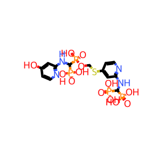 O=P(O)(O)C(Nc1cc(SCOP(=O)(O)C(Nc2cc(O)ccn2)P(=O)(O)O)ccn1)P(=O)(O)O